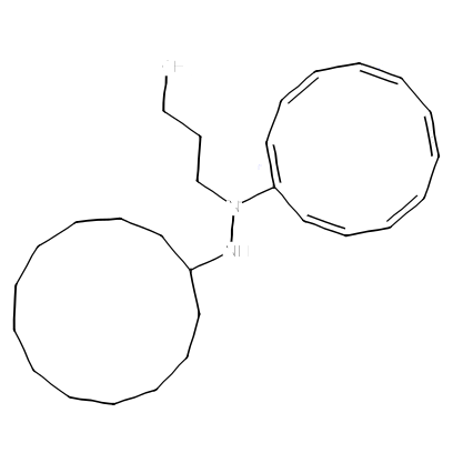 CCCCN(NC1CCCCCCCCCCCC1)C1=C/C=C\C=C/C=C\C=C/C=C\1